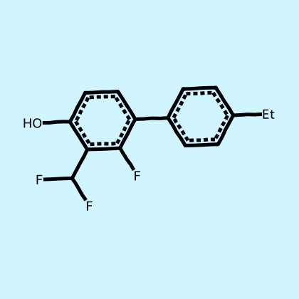 CCc1ccc(-c2ccc(O)c(C(F)F)c2F)cc1